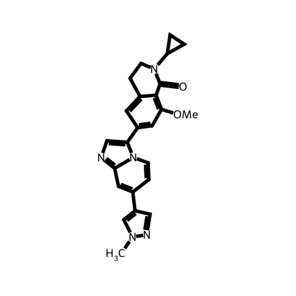 COc1cc(-c2cnc3cc(-c4cnn(C)c4)ccn23)cc2c1C(=O)N(C1CC1)CC2